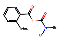 CCCCCCc1ccccc1C(=O)OC(=O)N(CC)CC